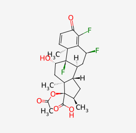 CC(=O)O[C@]1(C(=O)O)[C@H](C)C[C@H]2[C@@H]3C[C@H](F)C4=C(F)C(=O)C=C[C@]4(C)[C@@]3(F)[C@@H](O)C[C@@]21C